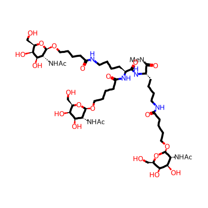 CNC(=O)[C@H](CCCCNC(=O)CCCCO[C@@H]1O[C@H](CO)[C@H](O)[C@H](O)[C@H]1NC(C)=O)NC(=O)[C@H](CCCCNC(=O)CCCCO[C@@H]1O[C@H](CO)[C@H](O)[C@H](O)[C@H]1NC(C)=O)NC(=O)CCCCO[C@@H]1O[C@H](CO)[C@H](O)[C@H](O)[C@H]1NC(C)=O